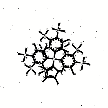 CC1=C(C)C(C)C([Si](c2c(C)c(C)c([Si](C)(C)C)c([Si](C)(C)C)c2[Si](C)(C)C)(c2c(C)c(C)c([Si](C)(C)C)c([Si](C)(C)C)c2[Si](C)(C)C)c2c(C)c(C)c([Si](C)(C)C)c([Si](C)(C)C)c2[Si](C)(C)C)=C1C